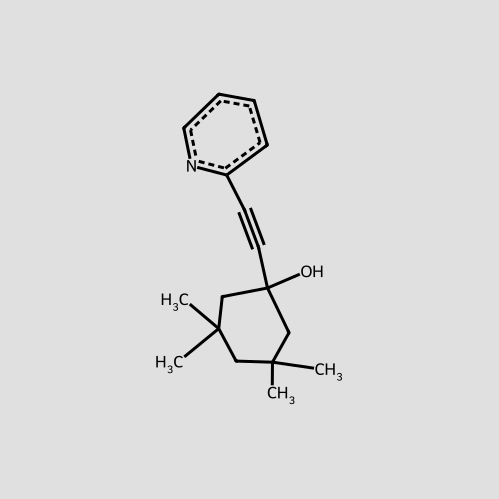 CC1(C)CC(C)(C)CC(O)(C#Cc2ccccn2)C1